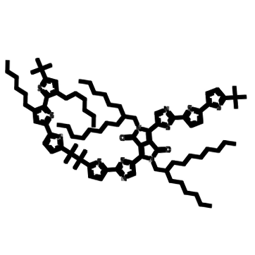 CCCCCCCCC(CCCCCC)CN1C(=O)C2=C(c3cnc(-c4ccc(C(C)(C)C(C)(C)c5ccc(-c6cc(CCCCCC)c(-c7sc(C(C)(C)C)cc7CCCCCC)s6)s5)s4)s3)N(CC(CCCCCC)CCCCCCCC)C(=O)C2=C1c1cnc(-c2ccc(-c3ccc(C(C)(C)C)s3)s2)s1